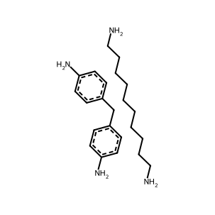 NCCCCCCCCCCN.Nc1ccc(Cc2ccc(N)cc2)cc1